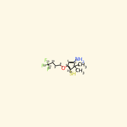 CC1(C)C(N)=CC(OCCCC(F)(F)F)=C1S